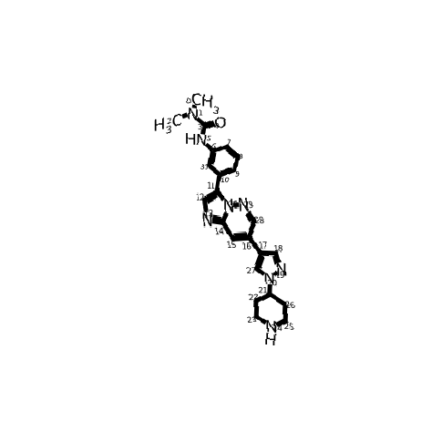 CN(C)C(=O)Nc1cccc(-c2cnc3cc(-c4cnn(C5CCNCC5)c4)cnn23)c1